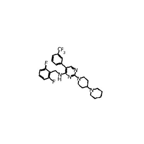 Fc1cccc(F)c1CNc1nc(N2CCC(N3CCCCC3)CC2)ncc1-c1cccc(C(F)(F)F)c1